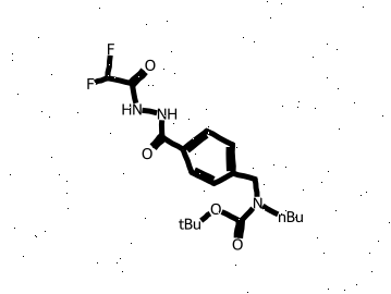 CCCCN(Cc1ccc(C(=O)NNC(=O)C(F)F)cc1)C(=O)OC(C)(C)C